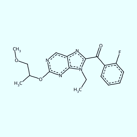 CCn1c(C(=O)c2ccccc2F)nc2cnc(OC(C)COC)nc21